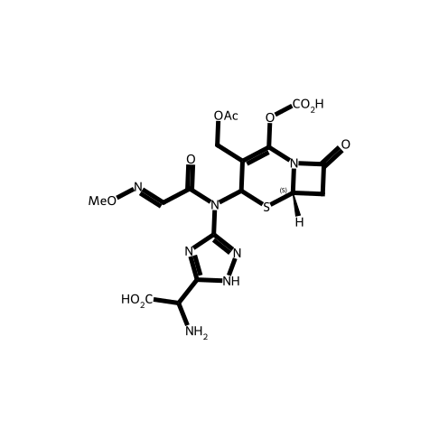 CON=CC(=O)N(c1n[nH]c(C(N)C(=O)O)n1)C1S[C@H]2CC(=O)N2C(OC(=O)O)=C1COC(C)=O